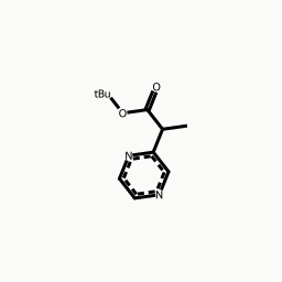 CC(C(=O)OC(C)(C)C)c1cnccn1